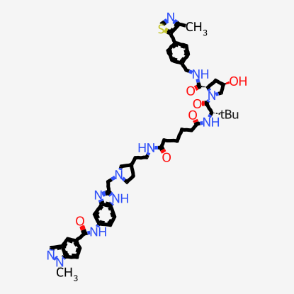 Cc1ncsc1-c1ccc(CNC(=O)[C@@H]2C[C@@H](O)CN2C(=O)[C@@H](NC(=O)CCCCC(=O)NCCC2CCN(Cc3nc4cc(NC(=O)c5ccc6c(cnn6C)c5)ccc4[nH]3)C2)C(C)(C)C)cc1